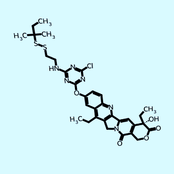 CCc1c2c(nc3ccc(Oc4nc(Cl)nc(NCCSSC(C)(C)CC)n4)cc13)-c1cc3c(c(=O)n1C2)COC(=O)[C@]3(O)CC